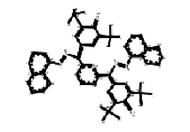 CC(C)(C)C1=CC(=C(/N=N/c2cccc3ccccc23)c2cccc(C(/N=N/c3cccc4ccccc34)=C3C=C(C(C)(C)C)C(=O)C(C(C)(C)C)=C3)n2)C=C(C(C)(C)C)C1=O